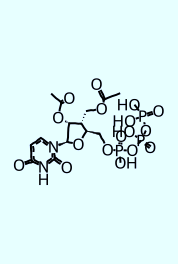 CC(=O)OC[C@H]1[C@@H](OC(C)=O)[C@H](n2ccc(=O)[nH]c2=O)O[C@@H]1COP(=O)(O)OP(=O)(O)OP(=O)(O)O